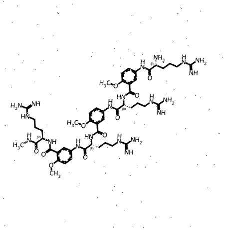 CNC(=O)[C@@H](CCCNC(=N)N)NC(=O)c1cc(NC(=O)[C@@H](CCCNC(=N)N)NC(=O)c2cc(NC(=O)[C@@H](CCCNC(=N)N)NC(=O)c3cc(NC(=O)[C@H](N)CCCNC(=N)N)ccc3OC)ccc2OC)ccc1OC